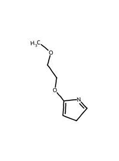 COCCOC1=CCC=N1